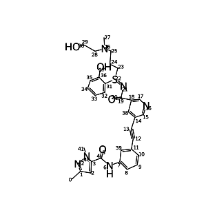 Cc1cc(C(=O)Nc2cccc(C#Cc3cncc(C(=O)N=S(CCCN(C)CCO)c4ccccc4O)c3)c2)n(C)n1